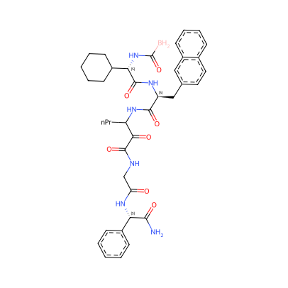 BC(=O)N[C@H](C(=O)N[C@@H](Cc1ccc2ccccc2c1)C(=O)NC(CCC)C(=O)C(=O)NCC(=O)N[C@H](C(N)=O)c1ccccc1)C1CCCCC1